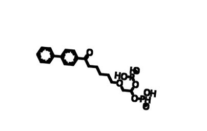 O=C(CCCCCOCC(O[PH](=O)O)O[PH](=O)O)c1ccc(-c2ccccc2)cc1